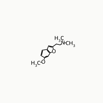 COc1ccc2cc(CCN(C)C)oc2c1